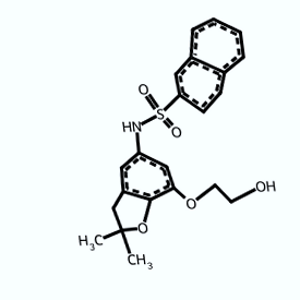 CC1(C)Cc2cc(NS(=O)(=O)c3ccc4ccccc4c3)cc(OCCO)c2O1